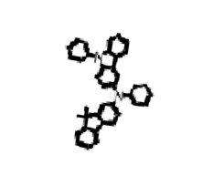 CC1(C)c2ccccc2-c2ccc(N(C3=CC=CCC3)c3ccc4c(c3)c3ccccc3n4-c3ccccc3)cc21